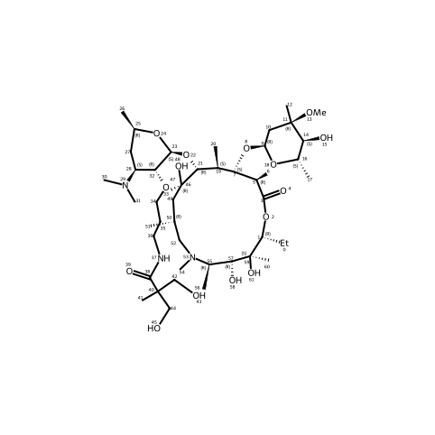 CC[C@H]1OC(=O)[C@H](C)[C@@H](O[C@H]2C[C@@](C)(OC)[C@@H](O)[C@H](C)O2)[C@H](C)[C@@H](O[C@@H]2O[C@H](C)C[C@H](N(C)C)[C@H]2OCCCNC(=O)C(C)(CO)CO)[C@](C)(O)C[C@@H](C)CN(C)[C@H](C)[C@@H](O)[C@]1(C)O